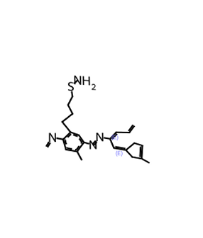 C=C/C=C(\C=C1/CC=C(C)C1)N=Nc1cc(CCCCSN)c(N=C)cc1C